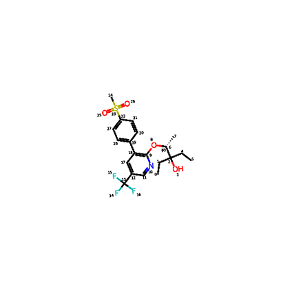 CCC(O)(CC)[C@@H](C)Oc1ncc(C(F)(F)F)cc1-c1ccc(S(C)(=O)=O)cc1